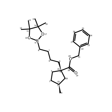 C[C@H]1CC[C@](CCCCB2OC(C)(C)C(C)(C)O2)(C(=O)OCc2ccccc2)C1